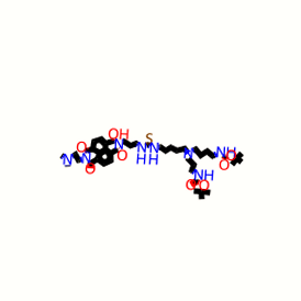 CN(C)CCN1C(=O)c2ccc3c4c2C(CC=C4C(O)N(CCCNC(=S)NCCCCCN(CCCCNC(=O)OC(C)(C)C)CCCNC(=O)OC(C)(C)C)C3=O)C1=O